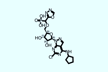 O=P(O)(O)C(OC[C@H]1O[C@@H](n2ncc3c(NC4CCCC4)nc(Cl)nc32)[C@H](O)[C@@H]1O)c1nnco1